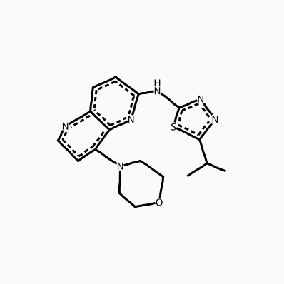 CC(C)c1nnc(Nc2ccc3nccc(N4CCOCC4)c3n2)s1